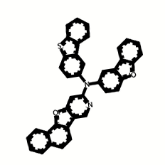 c1ccc2c(c1)ccc1c3cnc(N(c4ccc5oc6ccccc6c5c4)c4ccc5sc6ccccc6c5c4)cc3oc21